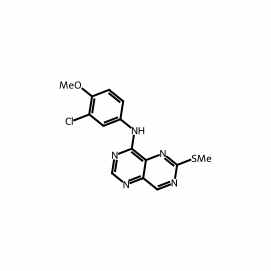 COc1ccc(Nc2ncnc3cnc(SC)nc23)cc1Cl